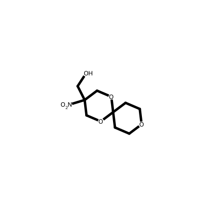 O=[N+]([O-])C1(CO)COC2(CCOCC2)OC1